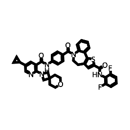 O=C(Nc1c(F)cccc1F)c1cc2c(s1)-c1ccccc1N(C(=O)c1ccc(NC(=O)c3cc(C4CC4)cnc3N3CC4(CCOCC4)C3)cc1)CC2